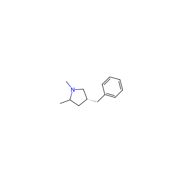 CC1C[C@@H](Cc2ccccc2)CN1C